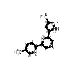 Cc1ccc(-c2cncc(-c3cc(C(F)(F)F)n[nH]3)n2)nc1